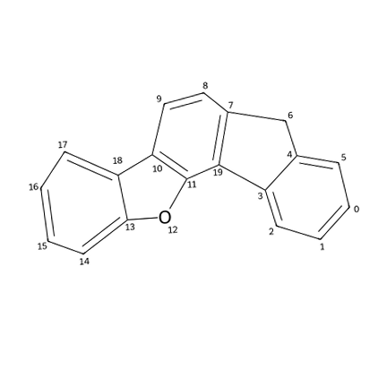 c1ccc2c(c1)Cc1ccc3c(oc4ccccc43)c1-2